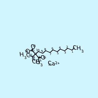 CCCCCCCCCCCC(C(=O)[O-])(C(=O)[O-])C(C)C.[Ca+2]